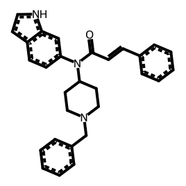 O=C(C=Cc1ccccc1)N(c1ccc2cc[nH]c2c1)C1CCN(Cc2ccccc2)CC1